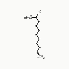 C=CCCCCCCCC(CC)CCCCCC